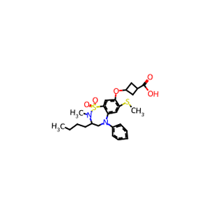 CCCCC1CN(c2ccccc2)c2cc(SC)c(OC3CC(C(=O)O)C3)cc2S(=O)(=O)N1C